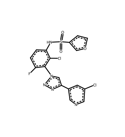 O=S(=O)(Nc1ccc(F)c(-n2cc(-c3cncc(Cl)c3)nn2)c1Cl)c1ccoc1